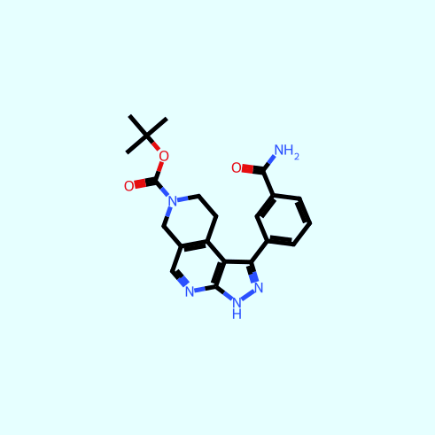 CC(C)(C)OC(=O)N1CCc2c(cnc3[nH]nc(-c4cccc(C(N)=O)c4)c23)C1